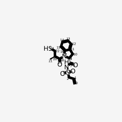 C=CCS(=O)(=O)NC(=O)[C@H]1Cc2ccccc2N1C(=O)[C@@H](C)CS